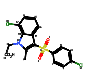 Cc1c(S(=O)(=O)c2ccc(Cl)cc2)c2cccc(Cl)c2n1CC(=O)O